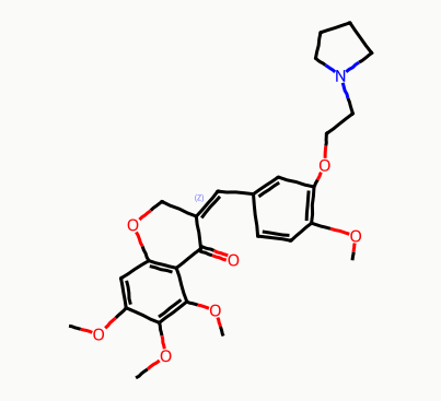 COc1ccc(/C=C2/COc3cc(OC)c(OC)c(OC)c3C2=O)cc1OCCN1CCCC1